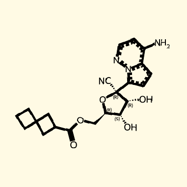 N#C[C@@]1(c2ccc3c(N)ccnn23)O[C@H](COC(=O)C2CC3(CCC3)C2)[C@@H](O)[C@H]1O